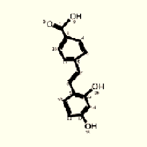 O=C(O)c1ccc(/C=C/c2ccc(O)cc2O)cc1